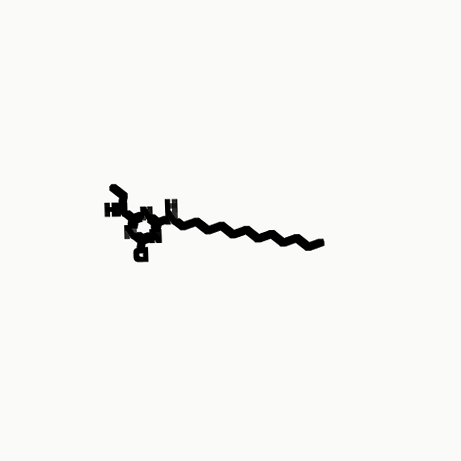 CCCCCCCCCCCCNc1nc(Cl)nc(NCC)n1